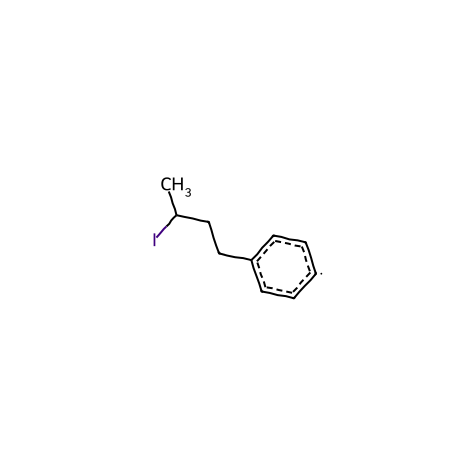 CC(I)CCc1cc[c]cc1